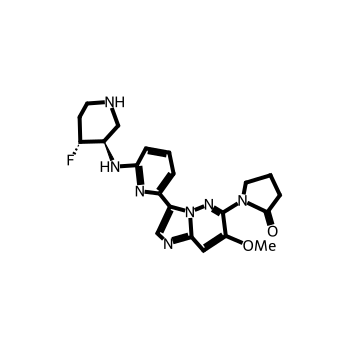 COc1cc2ncc(-c3cccc(N[C@@H]4CNCC[C@H]4F)n3)n2nc1N1CCCC1=O